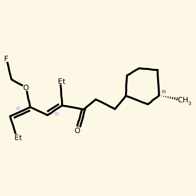 CC/C=C(\C=C(/CC)C(=O)CCC1CCC[C@H](C)C1)OCF